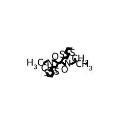 CC(C)CN1C(=O)/C(=C2/C(=O)N(CC(C)C)c3c2sc2ccsc32)c2sc3ccsc3c21